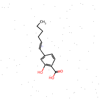 CCCC/C=C/c1ccc(C(=O)O)c(O)c1